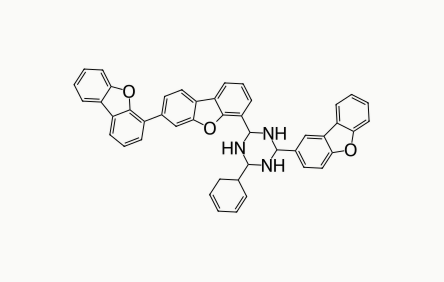 C1=CCC(C2NC(c3ccc4oc5ccccc5c4c3)NC(c3cccc4c3oc3cc(-c5cccc6c5oc5ccccc56)ccc34)N2)C=C1